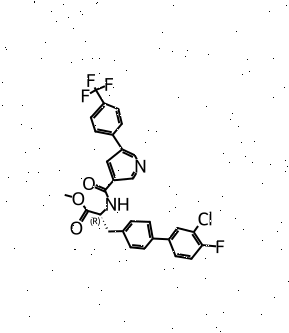 COC(=O)[C@@H](Cc1ccc(-c2ccc(F)c(Cl)c2)cc1)NC(=O)c1cncc(-c2ccc(C(F)(F)F)cc2)c1